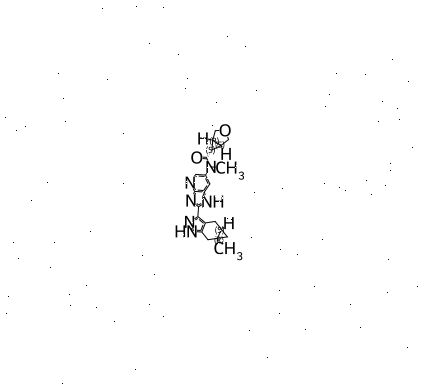 CN(C(=O)[C@@H]1[C@@H]2COC[C@@H]21)c1cnc2nc(-c3n[nH]c4c3C[C@@H]3C[C@]3(C)C4)[nH]c2c1